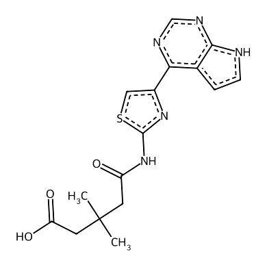 CC(C)(CC(=O)O)CC(=O)Nc1nc(-c2ncnc3[nH]ccc23)cs1